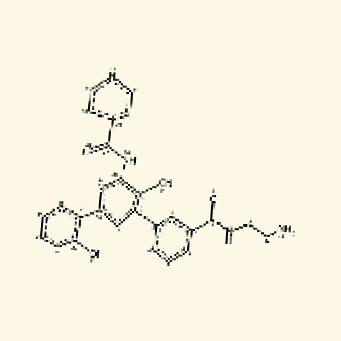 N#Cc1c(-c2cccc(C(=O)NCCN)c2)cc(-c2ccccc2O)nc1NC(=O)c1ccncc1